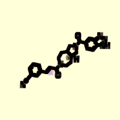 N#Cc1cccc(/C=C/C(=O)N2CCC3CN(C(=O)c4ccc5[nH]nnc5c4)C[C@H]3CC2)c1